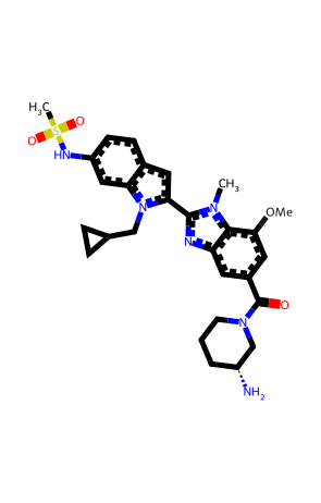 COc1cc(C(=O)N2CCC[C@@H](N)C2)cc2nc(-c3cc4ccc(NS(C)(=O)=O)cc4n3CC3CC3)n(C)c12